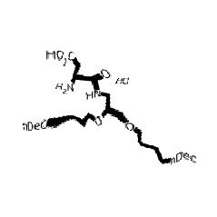 CCCCCCCCCCCCCCOCC(CNC(=O)C(N)CC(=O)O)OCCCCCCCCCCCCCC.Cl